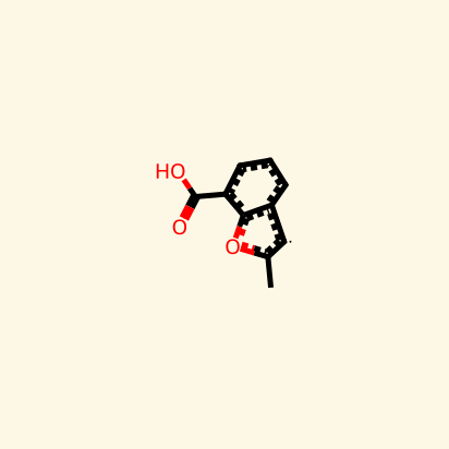 Cc1[c]c2cccc(C(=O)O)c2o1